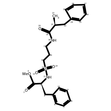 COC(=O)[C@H](Cc1ccccc1)NS(=O)(=O)CCCNC(=O)[C@@H](C)Cc1ccccc1